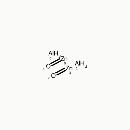 [AlH3].[AlH3].[O]=[Zn].[O]=[Zn]